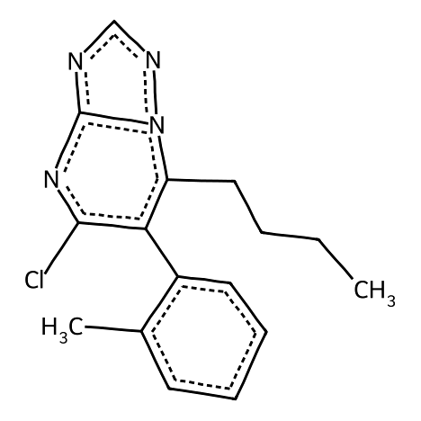 CCCCc1c(-c2ccccc2C)c(Cl)nc2ncnn12